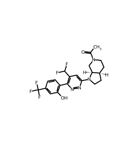 CC(=O)N1CC[C@H]2CCN(c3cc(C(F)F)c(-c4ccc(C(F)(F)F)cc4O)nn3)[C@H]2C1